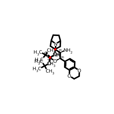 CC(C)(C)OC(=O)NC1CC2CCC(C1)N2C[C@@H](N)[C@H](O[Si](C)(C)C(C)(C)C)c1ccc2c(c1)OCCO2